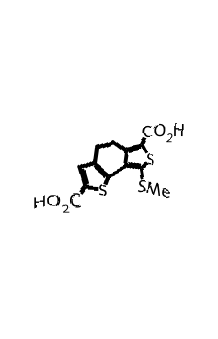 CSc1sc(C(=O)O)c2c1-c1sc(C(=O)O)cc1CC2